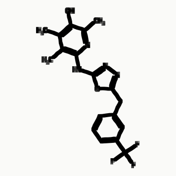 Cc1nc(Nc2nnc(Cc3cccc(C(F)(F)F)c3)o2)c(C)c(C)c1O